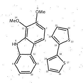 COc1ccc2c([nH]c3ccccc32)c1OC.c1csc(-c2cccs2)c1